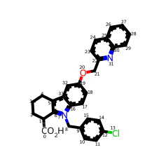 O=C(O)C1C[CH]Cc2c1n(Cc1ccc(Cl)cc1)c1ccc(OCc3ccc4ccccc4n3)cc21